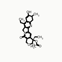 CCc1c2c(nc3c1Cn1c-3cc3c(c1=O)COC(=O)[C@@]3(CC)OC(C)=O)CC(C)C(O)=C2